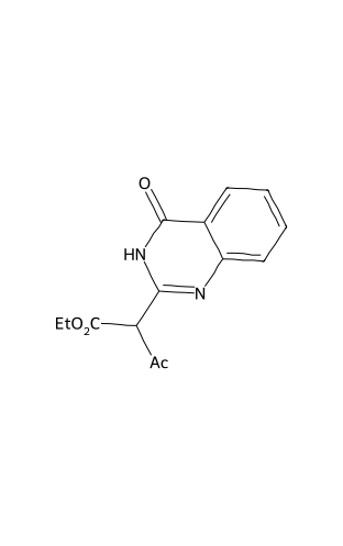 CCOC(=O)C(C(C)=O)c1nc2ccccc2c(=O)[nH]1